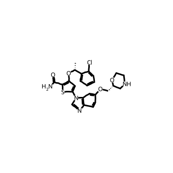 C[C@@H](Oc1cc(-n2cnc3ccc(OC[C@H]4CNCCO4)cc32)sc1C(N)=O)c1ccccc1Cl